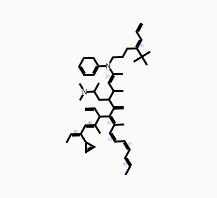 C=C/C=C(\CCCN(C1=CC=CCC1)/C(C)=C/C(C)C(CC(C)N(C)C)C(=C)/C(=C(C)/C=C\C=C/C=C/C)C(C=C)/C(C)=C/C(=C/C)C1C=C1)C(C)(C)C